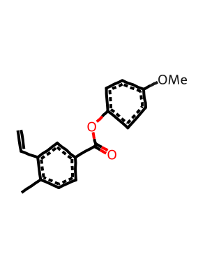 C=Cc1cc(C(=O)Oc2ccc(OC)cc2)ccc1C